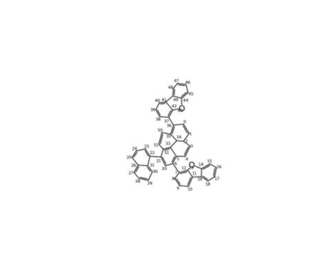 C1=CC2C=Cc3c(-c4cccc5c4oc4ccccc45)cc(-c4cccc5ccccc45)c4c3C2C(=C1c1cccc2c1oc1ccccc12)C=C4